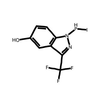 Oc1ccc2c(c1)c(C(F)(F)F)nn2PI